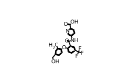 Cc1cc(CO)ccc1Oc1ccc(C(F)(F)F)cc1C(=O)Nc1ccc(C(=O)O)nc1